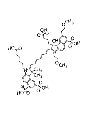 COCCc1cc(S(=O)(=O)O)c2ccc3c(c2c1)C(C)(CCCS(=O)(=O)O)C(/C=C/C=C/C=C/C=C1/N(CCCCCC(=O)O)c2ccc4c(S(=O)(=O)O)cc(S(=O)(=O)O)cc4c2C1(C)C)=[N+]3CCOC